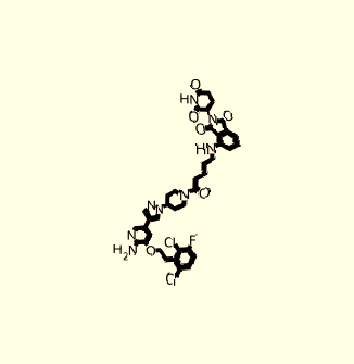 Nc1ncc(-c2cnn(C3CCN(C(=O)CCCCNc4cccc5c4C(=O)N([C@@H]4CCC(=O)NC4=O)C5=O)CC3)c2)cc1OCCc1c(Cl)ccc(F)c1Cl